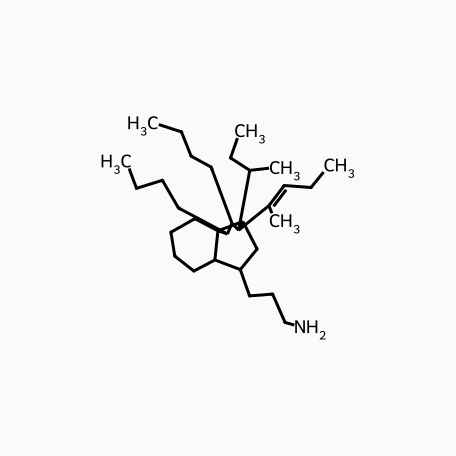 CC/C=C(\C)C1(C(C)CC)C(CCCC)C(CCCC)C23CCCCC2C(CCCN)CC31